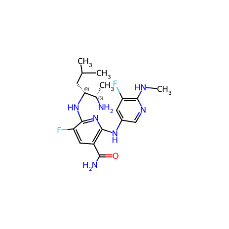 CNc1ncc(Nc2nc(N[C@H](CC(C)C)[C@H](C)N)c(F)cc2C(N)=O)cc1F